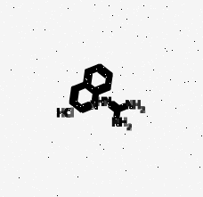 Cl.N=C(N)N.c1ccc2ncccc2c1